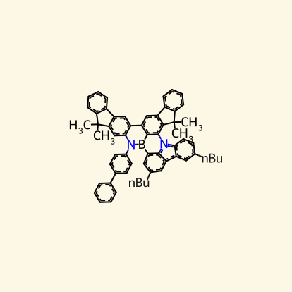 CCCCc1ccc2c(c1)c1cc(CCCC)cc3c1n2-c1c2c(cc4c1C(C)(C)c1ccccc1-4)-c1cc4c(cc1N(c1ccc(-c5ccccc5)cc1)B23)C(C)(C)c1ccccc1-4